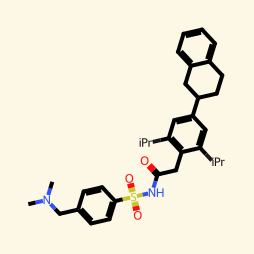 CC(C)c1cc(C2CCc3ccccc3C2)cc(C(C)C)c1CC(=O)NS(=O)(=O)c1ccc(CN(C)C)cc1